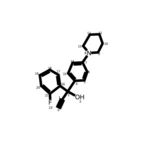 C#CC(O)(c1ccc(N2CCCCC2)cc1)c1ccccc1F